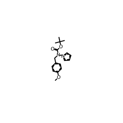 COc1ccc(CN(C(=O)OC(C)(C)C)n2cccc2)cc1